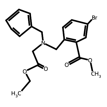 CCOC(=O)CN(Cc1ccccc1)Cc1ccc(Br)cc1C(=O)OC